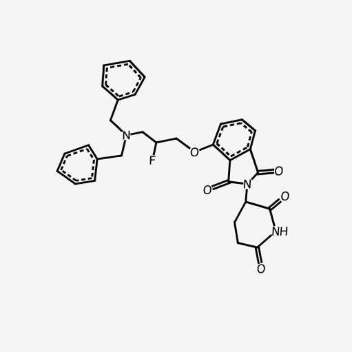 O=C1CCC(N2C(=O)c3cccc(OCC(F)CN(Cc4ccccc4)Cc4ccccc4)c3C2=O)C(=O)N1